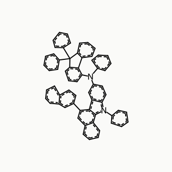 c1ccc(N(c2ccc3c(c2)c2c(-c4ccc5ccccc5c4)cc4ccccc4c2n3-c2ccccc2)c2cccc3c2-c2ccccc2C3(c2ccccc2)c2ccccc2)cc1